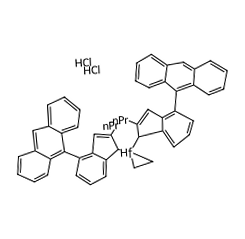 CCCC1=Cc2c(-c3c4ccccc4cc4ccccc34)cccc2[CH]1[Hf]1([CH]2C(CCC)=Cc3c(-c4c5ccccc5cc5ccccc45)cccc32)[CH2][CH2]1.Cl.Cl